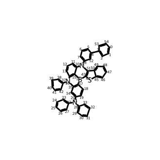 c1ccc(-c2cccc(N3c4cccc5c4B(c4ccc(N(c6ccccc6)c6ccccc6)cc4N5c4ccccc4)c4sc5ccccc5c43)c2)cc1